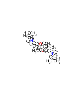 Cc1cccc(C)c1N(c1cccc(C(C)(C)C)c1)c1ccc2cc3c(cc2c1)oc1c(C(C)(C)C)c2c(oc4cc5cc(N(c6cccc(C(C)(C)C)c6)c6c(C)cccc6C)ccc5cc42)c(C(C)(C)C)c13